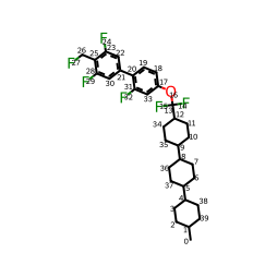 CC1CCC(C2CCC(C3CCC(C(F)(F)Oc4ccc(-c5cc(F)c(CF)c(F)c5)c(F)c4)CC3)CC2)CC1